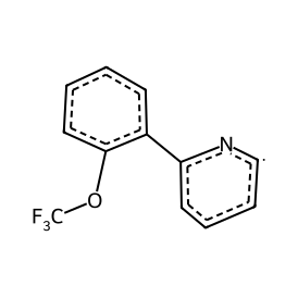 FC(F)(F)Oc1ccccc1-c1ccc[c]n1